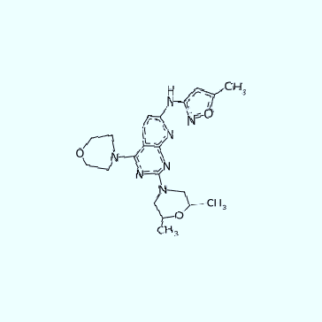 Cc1cc(Nc2ccc3c(N4CCOCC4)nc(N4CC(C)OC(C)C4)nc3n2)no1